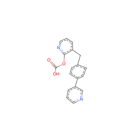 O=C(O)Oc1ncccc1Cc1ccc(-c2cccnc2)cc1